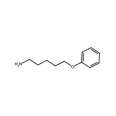 NCCCCCOc1cc[c]cc1